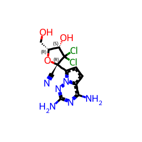 N#C[C@@]1(c2ccc3c(N)nc(N)nn23)O[C@H](CO)[C@H](O)C1(Cl)Cl